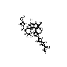 C=CC(=O)N1CC2(CC(n3nc(N4CCC(CN5CC(OC)C5)CC4(C)C)c(-c4c(Cl)c(C)cc5[nH]ncc45)c3C)C2)C1